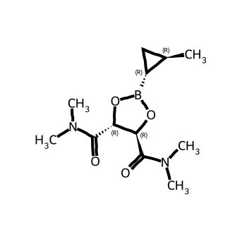 C[C@@H]1C[C@H]1B1O[C@@H](C(=O)N(C)C)[C@H](C(=O)N(C)C)O1